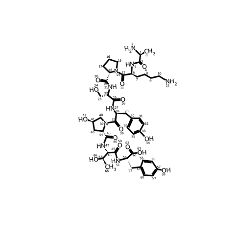 C[C@H](N)C(=O)N[C@@H](CCCCN)C(=O)N1CCC[C@H]1C(=O)N[C@@H](CO)C(=O)N[C@@H](Cc1ccc(O)cc1)C(=O)N1C[C@H](O)C[C@H]1C(=O)N[C@H](C(=O)N[C@@H](Cc1ccc(O)cc1)C(=O)O)[C@@H](C)O